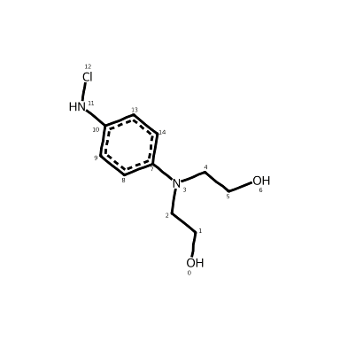 OCCN(CCO)c1ccc(NCl)cc1